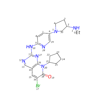 CCNC1CCN(c2ccc(Nc3ncc4cc(Br)c(=O)n(C5CCCC5)c4n3)nc2)C1